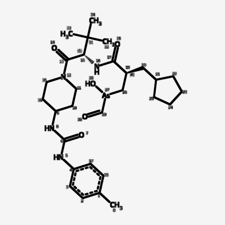 Cc1ccc(NC(=O)NC2CCN(C(=O)[C@@H](NC(=O)[C@@H](CC3CCCC3)C[As](O)C=O)C(C)(C)C)CC2)cc1